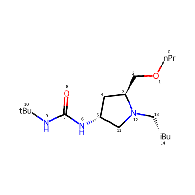 CCCOC[C@@H]1C[C@@H](NC(=O)NC(C)(C)C)CN1C[C@@H](C)CC